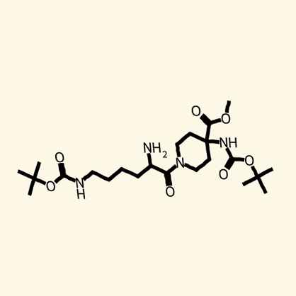 COC(=O)C1(NC(=O)OC(C)(C)C)CCN(C(=O)C(N)CCCCNC(=O)OC(C)(C)C)CC1